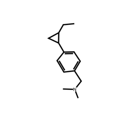 CCC1CC1c1ccc(CN(C)C)cc1